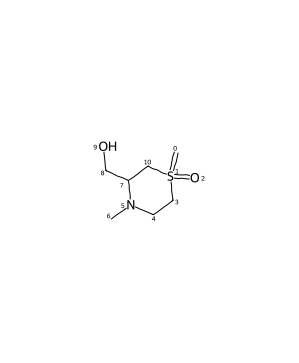 C=S1(=O)CCN(C)C(CO)C1